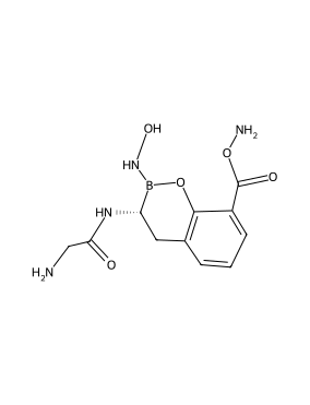 NCC(=O)N[C@H]1Cc2cccc(C(=O)ON)c2OB1NO